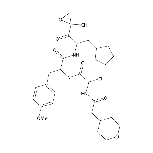 COc1ccc(CC(NC(=O)C(C)NC(=O)CC2CCOCC2)C(=O)NC(CC2CCCC2)C(=O)C2(C)CO2)cc1